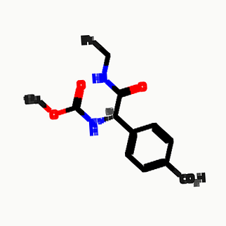 CC(C)CNC(=O)[C@@H](NC(=O)OC(C)(C)C)c1ccc(C(=O)O)cc1